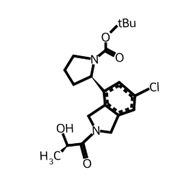 C[C@@H](O)C(=O)N1Cc2cc(Cl)cc([C@H]3CCCN3C(=O)OC(C)(C)C)c2C1